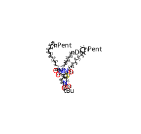 CCCCC/C=C\C/C=C\CCCCCCCC(=O)Nc1sc2c(c1C(=O)N(CCCCCCCCCCCCCCCCCC)C(=O)CCCCCCC/C=C\C/C=C\CCCCC)CCN(C(=O)OC(C)(C)C)C2